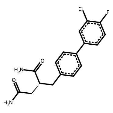 NC(=O)C[C@@H](Cc1ccc(-c2ccc(F)c(Cl)c2)cc1)C(N)=O